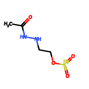 CC(=O)NNCCO[SH](=O)=O